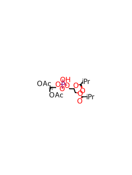 CC(=O)OC[C@H](COP(=O)(O)OCC(COC(=O)C(C)C)OC(=O)C(C)C)OC(C)=O